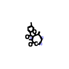 C=C1/C=C\C=C/CC(=O)/C(C)=C(/C(=O)c2ccc(C)cc2)C1=O